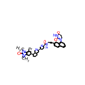 CC(C)c1cc(-c2cccc3cc(-c4ccc(C(=O)NCC#Cc5ccc6cccc(N7CCC(=O)NC7=O)c6c5)nc4)ncc23)cc2c1n(C)c(=O)n2C